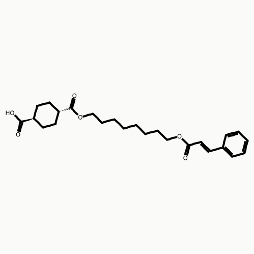 O=C(C=Cc1ccccc1)OCCCCCCCCOC(=O)[C@H]1CC[C@H](C(=O)O)CC1